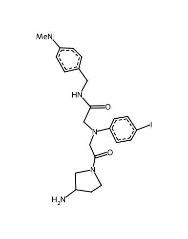 CNc1ccc(CNC(=O)CN(CC(=O)N2CCC(N)C2)c2ccc(I)cc2)cc1